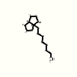 OCCCCCCCC12CCCC1CCC2